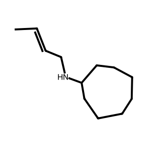 CC=CCNC1CCCCCCC1